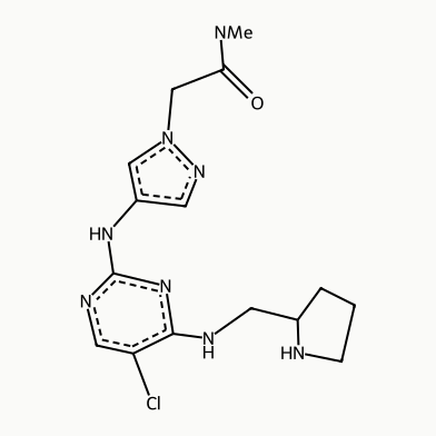 CNC(=O)Cn1cc(Nc2ncc(Cl)c(NCC3CCCN3)n2)cn1